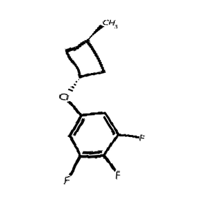 C[C@H]1C[C@H](Oc2cc(F)c(F)c(F)c2)C1